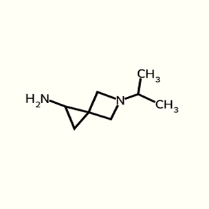 CC(C)N1CC2(CC2N)C1